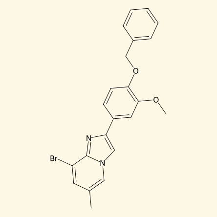 COc1cc(-c2cn3cc(C)cc(Br)c3n2)ccc1OCc1ccccc1